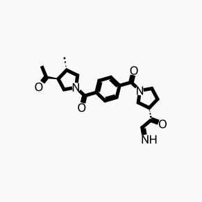 CC(=O)[C@@H]1CN(C(=O)c2ccc(C(=O)N3CC[C@H](C(=O)C=N)C3)cc2)C[C@H]1C